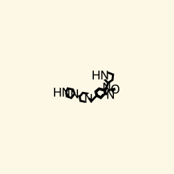 Cn1c(=O)n(C2CCCNC2)c2ccc(CN3CCC(N4CCNCC4)CC3)cc21